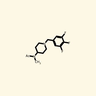 CC(=O)N(C)C1CCN(Cc2cc(F)c(F)c(F)c2)CC1